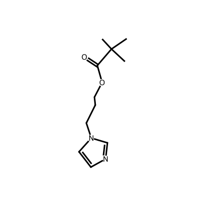 CC(C)(C)C(=O)OCCCn1ccnc1